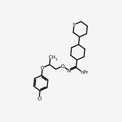 CCCC(=NOCC(C)Oc1ccc(Cl)cc1)C1CCC(C2CCCSC2)CC1